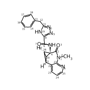 CN1C(=O)[C@]2(NC(=O)c3nnc(Cc4ccccc4)[nH]3)C3[C@@H](c4cccnc41)[C@H]32